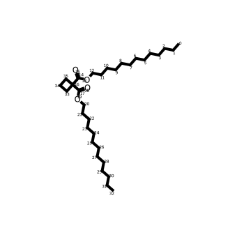 CCCCCCCCCCCCCOC(=O)C1(C(=O)OCCCCCCCCCCCCC)CCC1